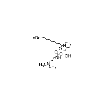 CCCCCCCCCCCCCCCCCC(=O)N1CCCCC1CCOC(=O)NCCCN(C)C.Cl